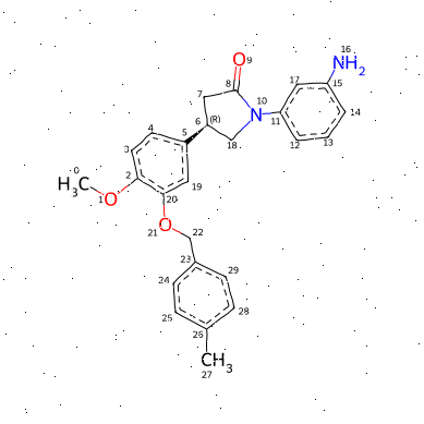 COc1ccc([C@H]2CC(=O)N(c3cccc(N)c3)C2)cc1OCc1ccc(C)cc1